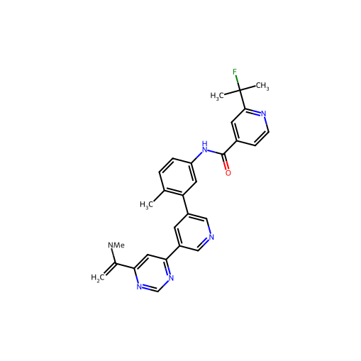 C=C(NC)c1cc(-c2cncc(-c3cc(NC(=O)c4ccnc(C(C)(C)F)c4)ccc3C)c2)ncn1